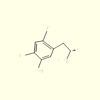 CC(=O)[C@@H](N)Cc1cc(O)c(O)cc1[18F]